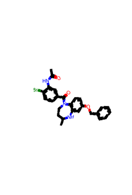 CC(=O)Nc1cc(C(=O)N2CCC(C)Nc3cc(OCc4ccccc4)ccc32)ccc1Br